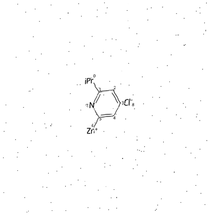 CC(C)c1ccc[c]([Zn+])n1.[Cl-]